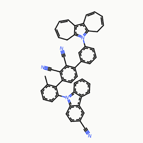 Cc1cccc(-n2c3ccccc3c3cc(C#N)ccc32)c1-c1ccc(-c2cccc(-n3c4c(c5c3CC=CC=C5)C=CC=CC4)c2)c(C#N)c1C#N